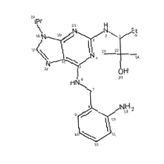 CCC(Nc1nc(NCc2ccccc2N)c2ncn(C(C)C)c2n1)C(C)(C)O